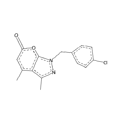 Cc1cc(=O)oc2c1c(C)nn2Cc1ccc(Cl)cc1